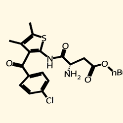 CCCCOC(=O)C[C@H](N)C(=O)Nc1sc(C)c(C)c1C(=O)c1ccc(Cl)cc1